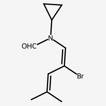 CC(C)=C/C(Br)=C\N(C=O)C1CC1